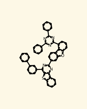 c1ccc(-c2cccc(-c3nc(-c4ccc5c(c4)oc4cccc(-c6nc(-c7ccccc7)nc(-c7ccccc7)n6)c45)nc4c3sc3ccccc34)c2)cc1